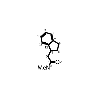 CNC(=O)CC1CCc2ccccc21